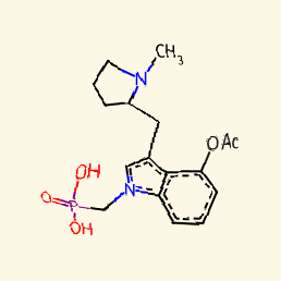 CC(=O)Oc1cccc2c1c(CC1CCCN1C)cn2CP(=O)(O)O